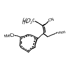 CCCCCCCCCCC(=C(C#N)C(=O)O)c1cccc(OC)c1